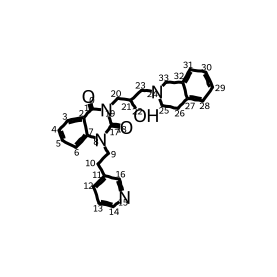 O=c1c2ccccc2n(CCc2cccnc2)c(=O)n1CC(O)CN1CCc2ccccc2C1